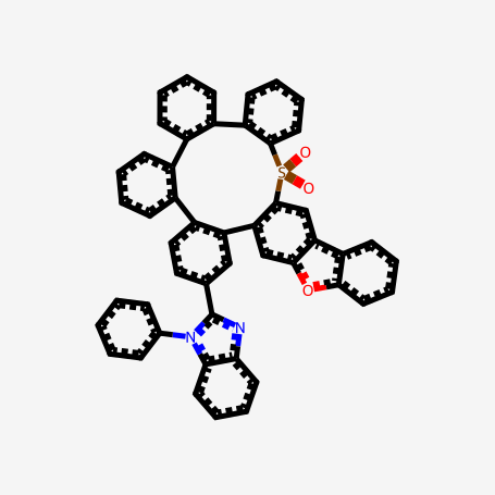 O=S1(=O)c2ccccc2-c2ccccc2-c2ccccc2-c2ccc(-c3nc4ccccc4n3-c3ccccc3)cc2-c2cc3oc4ccccc4c3cc21